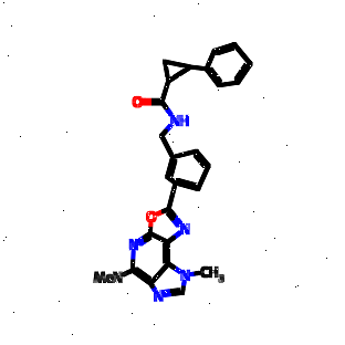 CNc1nc2oc(-c3cccc(CNC(=O)C4CC4c4ccccc4)c3)nc2c2c1ncn2C